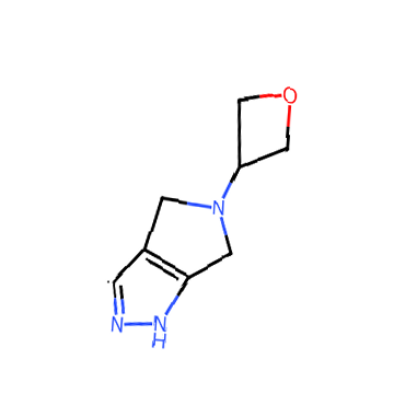 [c]1n[nH]c2c1CN(C1COC1)C2